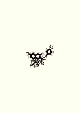 COc1ccc(COC(C)(C(=O)O)c2c(C)cc3cc(Cl)ccc3c2OS(=O)(=O)C(F)(F)F)cc1